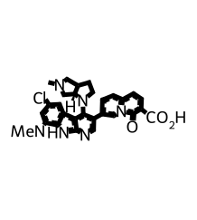 CNc1cc(Cl)cc2c1[nH]c1ncc(-c3ccc4ccc(C(=O)O)c(=O)n4c3)c(N3CCC4CN(C)C[C@H]43)c12